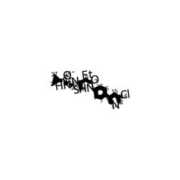 CCC(C(=O)Nc1ccc(-c2cncc(Cl)c2)cc1)c1csc(N[S+]([O-])C2CC2)n1